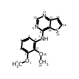 COc1cccc(Nc2ncnc3ccsc23)c1OC